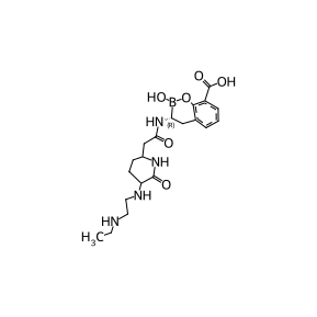 CCNCCNC1CCC(CC(=O)N[C@H]2Cc3cccc(C(=O)O)c3OB2O)NC1=O